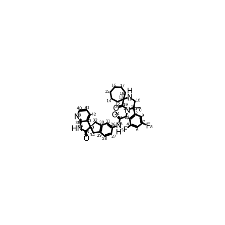 C[C@]1(c2cc(F)cc(F)c2)CNC2(CCCCCC2)C(=O)N1CC(=O)Nc1ccc2c(c1)C[C@@]1(C2)C(=O)Nc2ncccc21